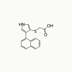 O=C(O)CSc1c[nH]cc1-c1cccc2ccccc12